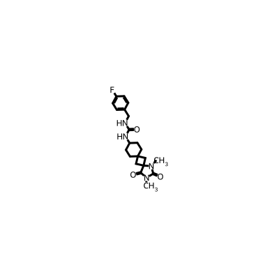 CN1C(=O)N(C)C2(CC3(CCC(NC(=O)NCc4ccc(F)cc4)CC3)C2)C1=O